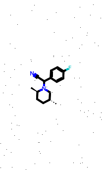 C[C@@H]1CC[C@@H](C)N(C(C#N)c2ccc(F)cc2)C1